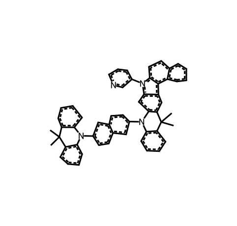 CC1(C)c2ccccc2N(c2ccc3cc(N4c5ccccc5C(C)(C)c5cc6c7c8ccccc8ccc7n(-c7cccnc7)c6cc54)ccc3c2)c2ccccc21